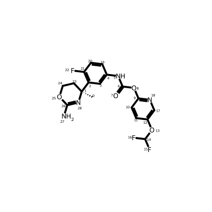 C[C@@]1(c2cc(NC(=O)Oc3ccc(OC(F)F)cn3)ccc2F)CCOC(N)=N1